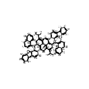 CC(C)C1=CC(N(c2cccc3ccccc23)c2cccc3c2oc2ccccc23)=C2C=CC3=C(C(C)C)CC(N(C4=CC=CC5c6ccccc6OC45)c4cccc5ccccc45)C4=CCC1C2(C)C43